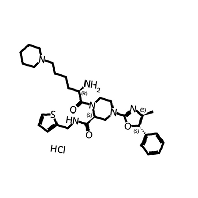 C[C@@H]1N=C(N2CCN(C(=O)[C@H](N)CCCCN3CCCCC3)[C@H](C(=O)NCc3cccs3)C2)O[C@H]1c1ccccc1.Cl